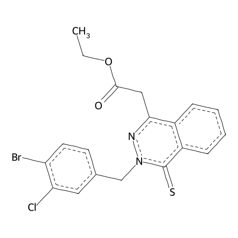 CCOC(=O)Cc1nn(Cc2ccc(Br)c(Cl)c2)c(=S)c2ccccc12